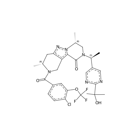 C[C@@H]1Cc2nn3c(c2CN1C(=O)c1ccc(Cl)c(OC(F)(F)F)c1)C(=O)N([C@@H](C)c1cnc(C(C)(C)O)nc1)C[C@H]3C